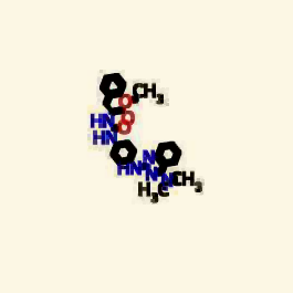 CCOC(=O)[C@H](Cc1ccccc1)NC(=O)N[C@H]1CC[C@@H](Nc2nc3c(c(N(C)C)n2)CCCC3)CC1